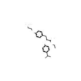 CCOC(=O)C(Cc1ccc(OCCO)cc1)Oc1ccc(C(C)C)cc1